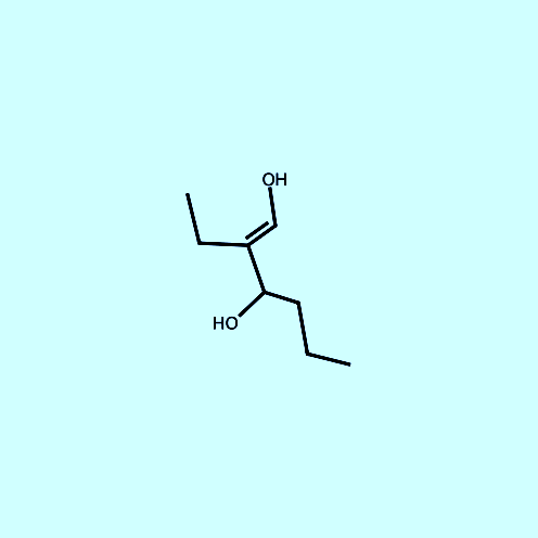 CCCC(O)C(=CO)CC